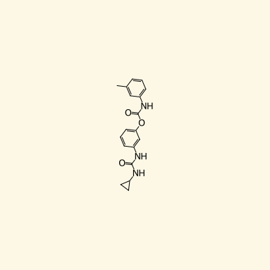 Cc1cccc(NC(=O)Oc2cccc(NC(=O)NC3CC3)c2)c1